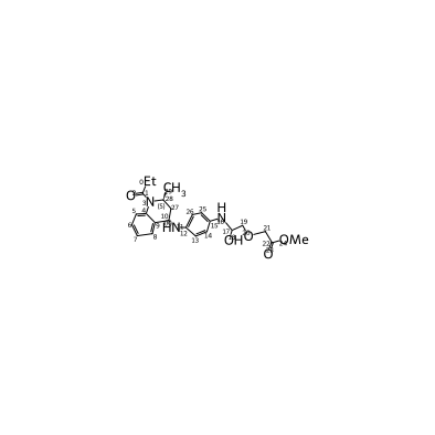 CCC(=O)N1c2ccccc2[C@H](Nc2ccc(NC(O)COCC(=O)OC)cc2)C[C@@H]1C